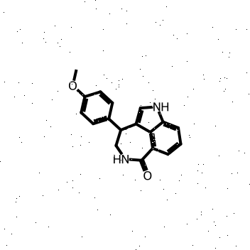 COc1ccc(C2CNC(=O)c3cccc4[nH]cc2c34)cc1